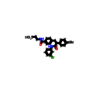 CC(C)(C)c1ccc(C(Cc2ccc(C(=O)NCCS(=O)(=O)O)cc2)C(=O)Nc2cccc(Br)c2)cc1